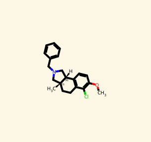 COc1ccc2c(c1Cl)CC[C@]1(C)CN(Cc3ccccc3)C[C@H]21